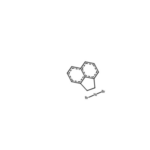 [Br][Ni][Br].c1cc2c3c(cccc3c1)CC2